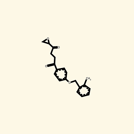 Cc1ccccc1COc1ccc(C(=O)CCC(=O)C2CO2)cc1